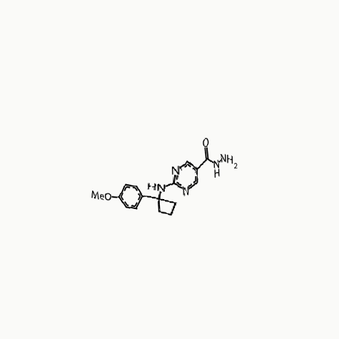 COc1ccc(C2(Nc3ncc(C(=O)NN)cn3)CCC2)cc1